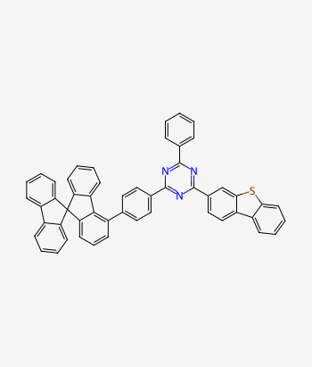 c1ccc(-c2nc(-c3ccc(-c4cccc5c4-c4ccccc4C54c5ccccc5-c5ccccc54)cc3)nc(-c3ccc4c(c3)sc3ccccc34)n2)cc1